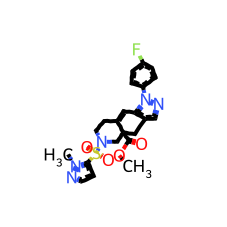 COC(=O)C12Cc3cnn(-c4ccc(F)cc4)c3C=C1CCN(S(=O)(=O)c1ccnn1C)C2